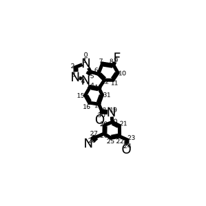 Cn1cnnc1-c1cc(F)ccc1-c1cccc(-c2nc3cc(C=O)cc(C#N)c3o2)c1